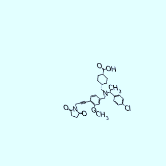 COc1cc(CN(C[C@H]2CC[C@H](C(=O)O)CC2)[C@@H](C)c2ccc(Cl)cc2)ccc1C#CCN1C(=O)CCC1=O